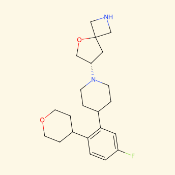 Fc1ccc(C2CCOCC2)c(C2CCN([C@@H]3COC4(CNC4)C3)CC2)c1